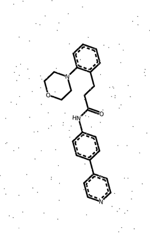 O=C(CCc1ccccc1N1CCOCC1)Nc1ccc(-c2ccncc2)cc1